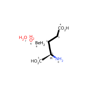 N[C@H](CCC(=O)O)C(=O)O.O.O.[BeH2]